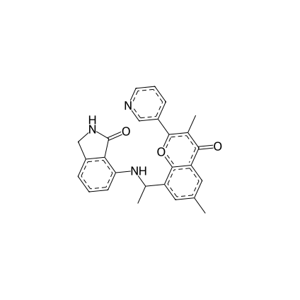 Cc1cc(C(C)Nc2cccc3c2C(=O)NC3)c2oc(-c3cccnc3)c(C)c(=O)c2c1